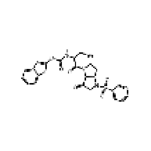 CC(C)CC(NC(=O)Oc1cc2ccccc2o1)C(=O)N1CCC2C1C(=O)CN2S(=O)(=O)c1cccnc1